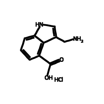 Cl.NCc1c[nH]c2cccc(C(=O)O)c12